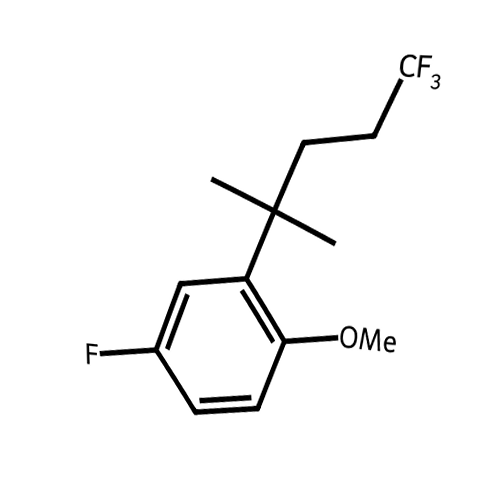 COc1ccc(F)cc1C(C)(C)CCC(F)(F)F